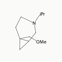 COCC12CCN(C(C)C)CC1C2